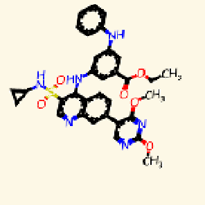 CCOC(=O)c1cc(Nc2ccccc2)cc(Nc2c(S(=O)(=O)NC3CC3)cnc3cc(-c4cnc(OC)nc4OC)ccc23)c1